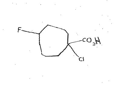 O=C(O)C1(Cl)CCC(F)CC1